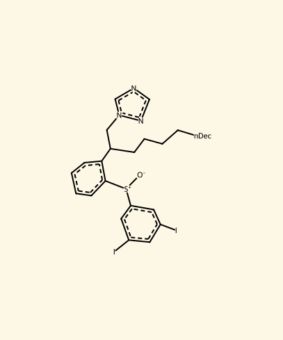 CCCCCCCCCCCCCCC(Cn1cncn1)c1ccccc1[S+]([O-])c1cc(I)cc(I)c1